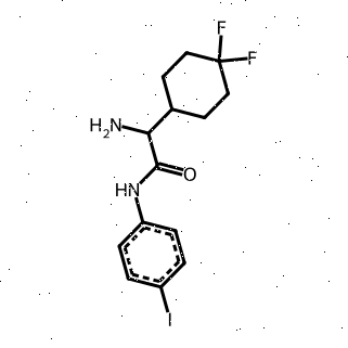 NC(C(=O)Nc1ccc(I)cc1)C1CCC(F)(F)CC1